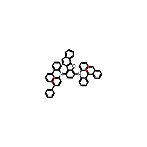 c1ccc(-c2ccc(N(c3ccccc3-c3ccccc3)c3ccc(N(c4ccccc4)c4ccccc4-c4cccc5ccccc45)c4oc5c6ccccc6ccc5c34)cc2)cc1